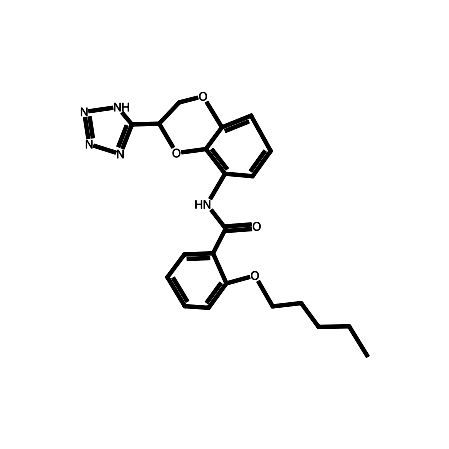 CCCCCOc1ccccc1C(=O)Nc1cccc2c1OC(c1nnn[nH]1)CO2